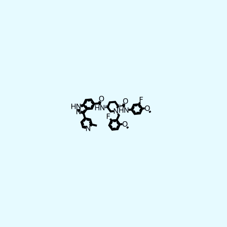 COc1ccc(NC(=O)[C@@H]2CC[C@@H](NC(=O)c3ccc4[nH]nc(-c5ccnc(C)c5)c4c3)CN2Cc2c(F)cccc2OC)cc1F